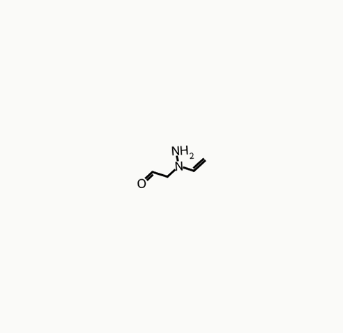 C=CN(N)CC=O